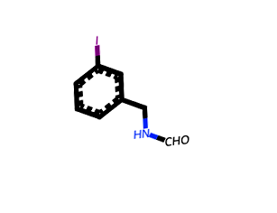 O=CNCc1cccc(I)c1